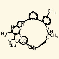 CCOC(=O)[C@@H](OC(C)(C)C)c1c(C)nc2cc3nn2c1N1CCC(C)(CC1)OCC=CC[C@H](C)Oc1ccc(C)cc1-c1cccc-3c1